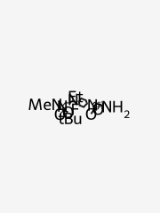 CCN(CCN(NC)C(=O)OC(C)(C)C)c1ccc(N2C[C@H](CN)OC2=O)cc1F